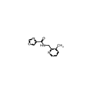 Cc1cccnc1CNC(=O)c1cocn1